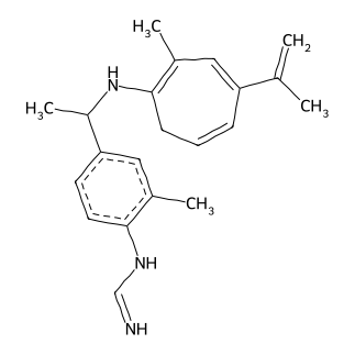 C=C(C)C1=CC(C)=C(NC(C)c2ccc(NC=N)c(C)c2)CC=C1